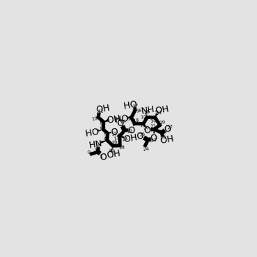 CC(=O)N[C@H]1[C@H]([C@H](O)[C@H](O)CO)O[C@](O)(C(=O)O[C@@H]([C@@H]2O[C@](OC(C)=O)(C(=O)O)C[C@H](O)[C@H]2N)[C@H](O)CO)C[C@@H]1O